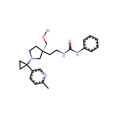 CCOC[C@@]1(CCNC(=O)Nc2ccccc2)CCN(C2(c3ccc(C)nc3)CC2)C1